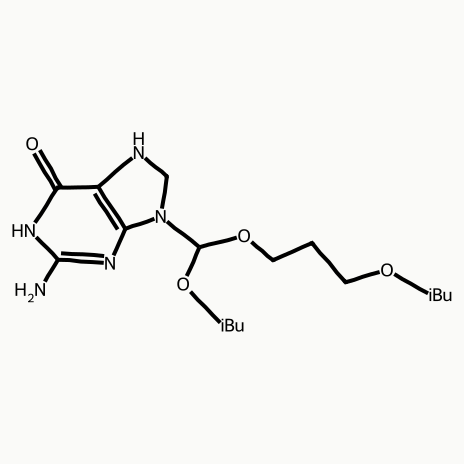 CCC(C)OCCCOC(OC(C)CC)N1CNc2c1nc(N)[nH]c2=O